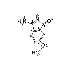 COc1ccc2c(c1)C(=O)N=C2N